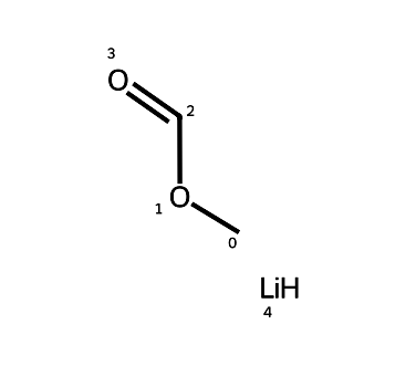 COC=O.[LiH]